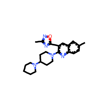 Cc1ccc2nc(N3CCC(N4CCCCC4)CC3)c(-c3nc(C)no3)cc2c1